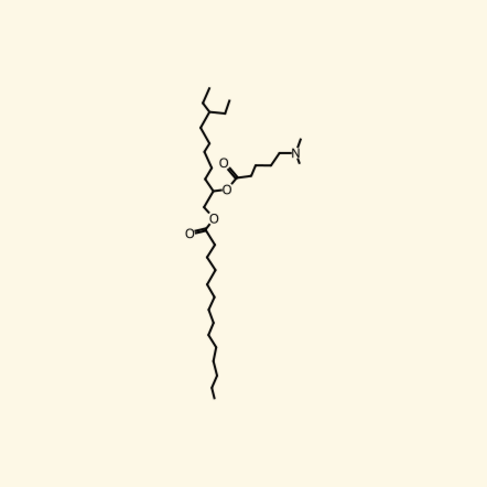 CCCCCCCCCCCCCC(=O)OCC(CCCCCC(CC)CC)OC(=O)CCCCN(C)C